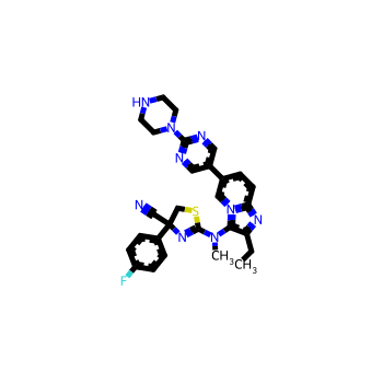 CCc1nc2ccc(-c3cnc(N4CCNCC4)nc3)cn2c1N(C)C1=NC(C#N)(c2ccc(F)cc2)CS1